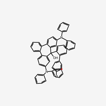 OC1(c2ccccc2-c2ccc(Cl)cc2)c2cc(N(c3ccccc3)c3ccccc3)ccc2-c2ccccc2-c2ccc(N(c3ccccc3)c3ccccc3)cc21